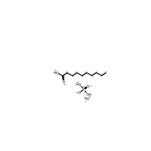 CCCCCCCCCC(=O)O.O=P([O-])(O)O.[Na+]